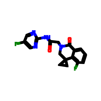 O=C(CN1CC2(CC2)c2c(F)cccc2C1=O)Nc1ncc(F)cn1